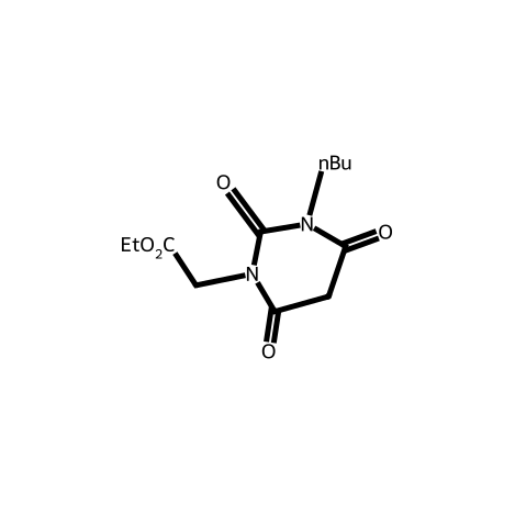 CCCCN1C(=O)CC(=O)N(CC(=O)OCC)C1=O